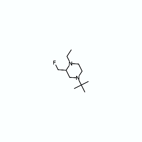 CCN1CCN(C(C)(C)C)CC1CF